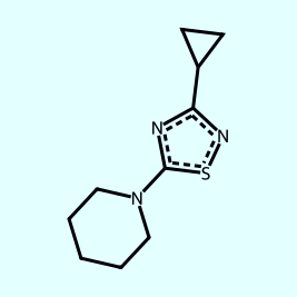 C1CCN(c2nc(C3CC3)ns2)CC1